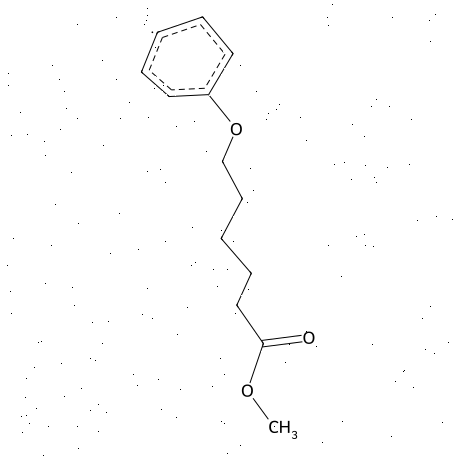 COC(=O)CCCCCOc1cc[c]cc1